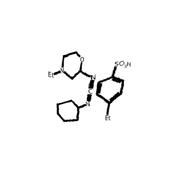 CCN1CCOC(N=C=NC2CCCCC2)C1.CCc1ccc(S(=O)(=O)O)cc1